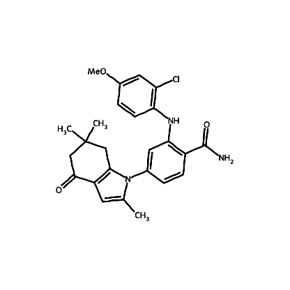 COc1ccc(Nc2cc(-n3c(C)cc4c3CC(C)(C)CC4=O)ccc2C(N)=O)c(Cl)c1